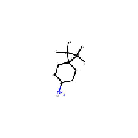 CC1(C)C(C)(C)C12CCC(N)CC2